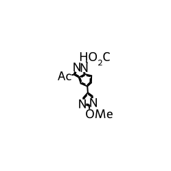 COc1ncc(-c2ccc3c(c2)c(C(C)=O)nn3CC(=O)O)cn1